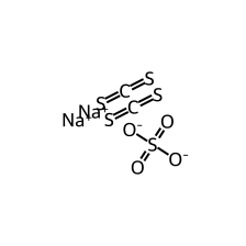 O=S(=O)([O-])[O-].S=C=S.S=C=S.[Na+].[Na+]